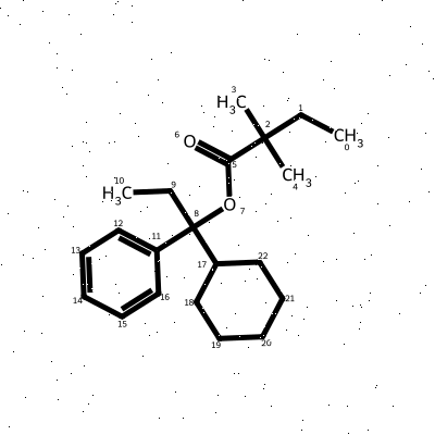 CCC(C)(C)C(=O)OC(CC)(c1ccccc1)C1CCCCC1